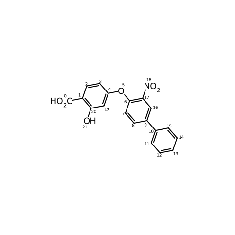 O=C(O)c1ccc(Oc2ccc(-c3ccccc3)cc2[N+](=O)[O-])cc1O